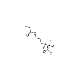 CCC(=O)OCCCC(F)(F)C(F)(F)[SH](=O)=O